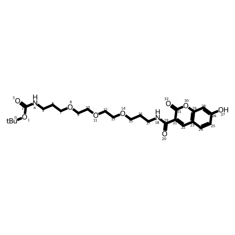 CC(C)(C)OC(=O)NCCCOCCOCCOCCCNC(=O)c1cc2ccc(O)cc2oc1=O